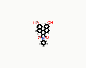 O=C1c2c(c3ccc4cc(O)ccc4c3c3c2ccc2cc(O)ccc23)C(=O)N1c1ccccc1